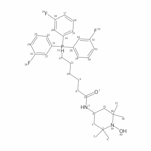 CC1(C)CC(NC(=O)CCCCC[PH](c2cccc(F)c2)(c2cccc(F)c2)c2cccc(F)c2)CC(C)(C)N1O